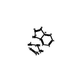 C=O.CCCCNCCCC.c1ccc2[nH]nnc2c1